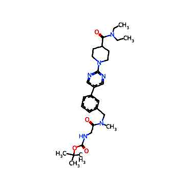 CCN(CC)C(=O)C1CCN(c2ncc(-c3cccc(CN(C)C(=O)CNC(=O)OC(C)(C)C)c3)cn2)CC1